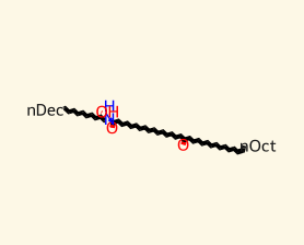 CCCCCCCC/C=C\CCCCCCCCCCCC(=O)CCCCCCCCCCCCCCCC(=O)NC[C@@H](O)CCCCCCCCCCCCCCCCCC